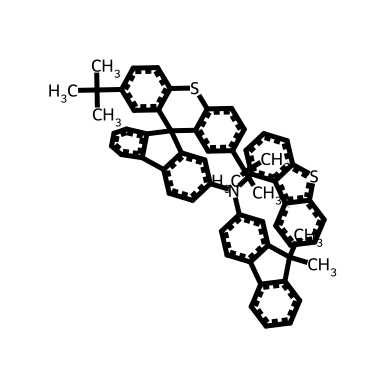 CC(C)(C)c1ccc2c(c1)C1(c3cc(C(C)(C)C)ccc3S2)c2ccccc2-c2ccc(N(c3ccc4c(c3)C(C)(C)c3ccccc3-4)c3cccc4sc5ccccc5c34)cc21